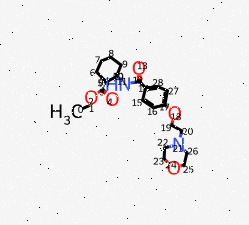 CCOC(=O)[C@@H]1CCCC[C@@H]1NC(=O)c1ccc(OCCN2CCOCC2)cc1